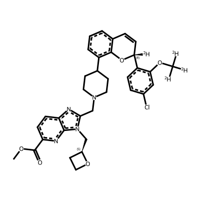 [2H]C([2H])([2H])Oc1cc(Cl)ccc1[C@@]1([2H])C=Cc2cccc(C3CCN(Cc4nc5ccc(C(=O)OC)nc5n4C[C@@H]4CCO4)CC3)c2O1